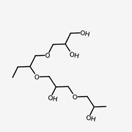 CCC(COCC(O)CO)OCC(O)COCC(C)O